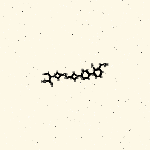 CCC(C(=O)O)N1CC(ON=C2CN(c3ncc(-c4cccc(CO)c4F)cn3)C2)C1